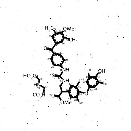 COC(=O)C(CNC(=S)Nc1ccc(C(=O)c2cc(C)c(OC)c(C)c2)cc1)c1cc(I)c(Oc2cc(I)c(O)c(I)c2)c(I)c1.O=C(O)CNCC(=O)O